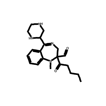 CCCCC(=O)C1(C=O)CN=C(C2CNCCN2)c2ccccc2N1C